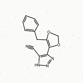 N#Cc1[nH]nnc1C1=C(Cc2ccccc2)OCO1